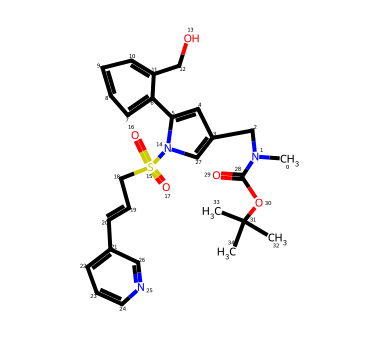 CN(Cc1cc(-c2ccccc2CO)n(S(=O)(=O)CC=Cc2cccnc2)c1)C(=O)OC(C)(C)C